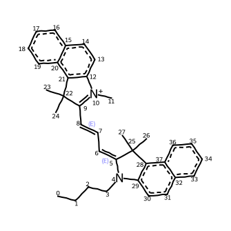 CCCCN1/C(=C/C=C/C2=[N+](C)c3ccc4ccccc4c3C2(C)C)C(C)(C)c2c1ccc1ccccc21